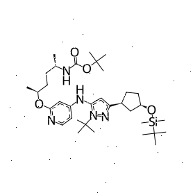 C[C@H](CC[C@H](C)Oc1cc(Nc2cc([C@H]3CC[C@@H](O[Si](C)(C)C(C)(C)C)C3)nn2C(C)(C)C)ccn1)NC(=O)OC(C)(C)C